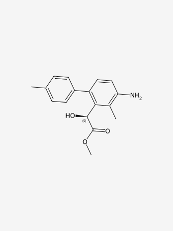 COC(=O)[C@@H](O)c1c(-c2ccc(C)cc2)ccc(N)c1C